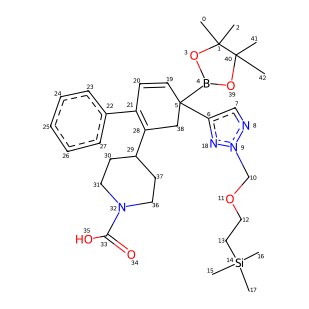 CC1(C)OB(C2(c3cnn(COCC[Si](C)(C)C)n3)C=CC(c3ccccc3)=C(C3CCN(C(=O)O)CC3)C2)OC1(C)C